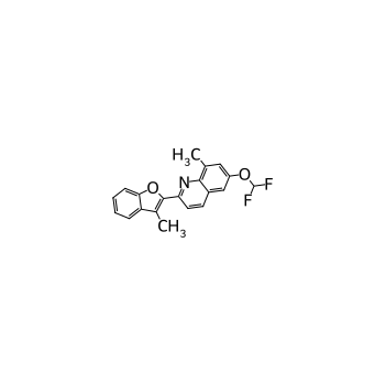 Cc1c(-c2ccc3cc(OC(F)F)cc(C)c3n2)oc2ccccc12